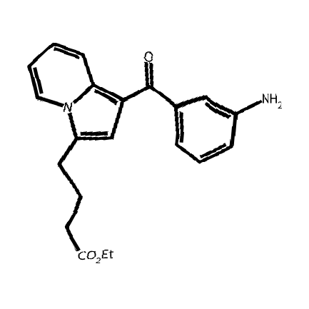 CCOC(=O)CCCc1cc(C(=O)c2cccc(N)c2)c2ccccn12